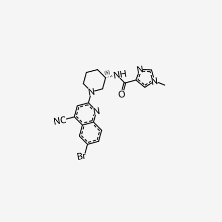 Cn1cnc(C(=O)N[C@H]2CCCN(c3cc(C#N)c4cc(Br)ccc4n3)C2)c1